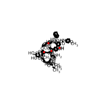 CN[C@H](CC(C)C)C(=O)N[C@H]1C(=O)N[C@@H](CC(N)=O)C(=O)NC2C(=O)N[C@H]3C(=O)N[C@H](C(=O)N[C@H](C(=O)NC4C5CC6CC(C5)CC4C6)c4cc(OC(=O)Nc5ccc(OC)cc5)cc(O)c4-c4cc3ccc4O)[C@H](O)c3ccc(c(Cl)c3)Oc3cc2cc(c3O[C@@H]2O[C@H](CO)[C@@H](O)[C@H](O)[C@H]2O)Oc2ccc(cc2C)[C@H]1O